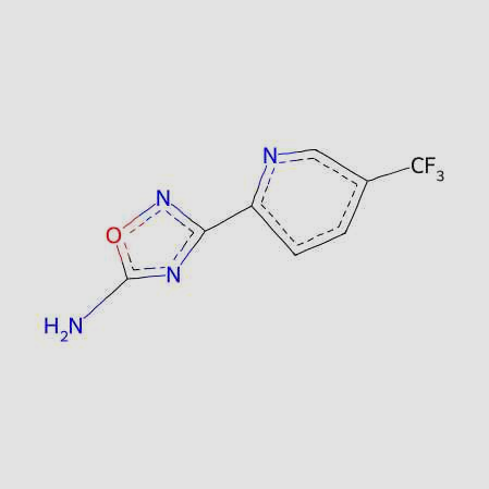 Nc1nc(-c2ccc(C(F)(F)F)cn2)no1